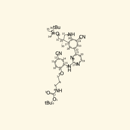 CC(C)(C)OC(=O)NCCCOc1ccc(C#N)cc1Nc1nccc(-c2cc(C#N)c3c(c2)[C@@](C)(CO[Si](C)(C)C(C)(C)C)CN3)n1